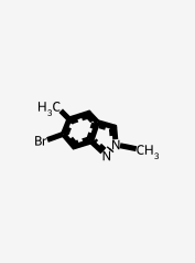 Cc1cc2cn(C)nc2cc1Br